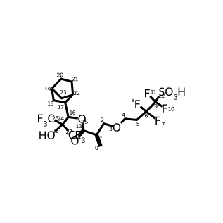 C=C(COCCC(F)(F)C(F)(F)S(=O)(=O)O)C(=O)OC(C1CC2CCC1C2)C(O)(C(F)(F)F)C(F)(F)F